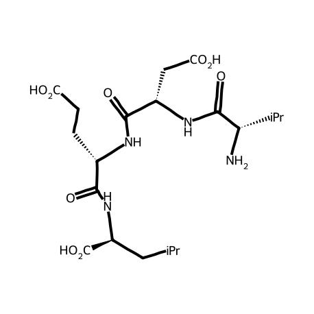 CC(C)C[C@H](NC(=O)[C@H](CCC(=O)O)NC(=O)[C@H](CC(=O)O)NC(=O)[C@@H](N)C(C)C)C(=O)O